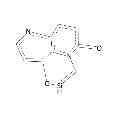 O=c1ccc2nccc3c2n1C=[SiH]O3